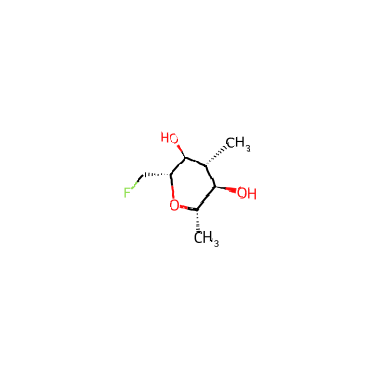 C[C@@H]1[C@@H](O)[C@H](C)O[C@H](CF)[C@H]1O